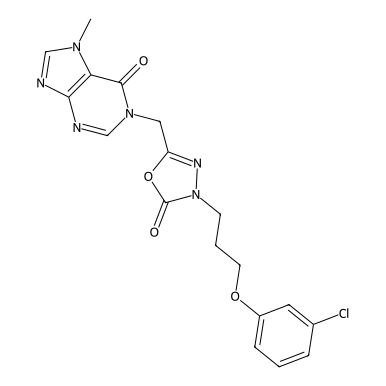 Cn1cnc2ncn(Cc3nn(CCCOc4cccc(Cl)c4)c(=O)o3)c(=O)c21